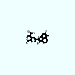 CCC(=O)C1=C(/C=C(\C)c2nc3cc(F)c(C)c4c3c(c2CC)CCC4)C(C)C(=O)OC1